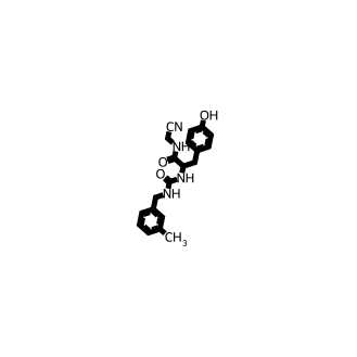 Cc1cccc(CNC(=O)NC(Cc2ccc(O)cc2)C(=O)NCC#N)c1